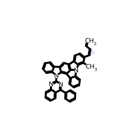 C=C/C=C\c1ccc2c3cc4c5ccccc5n(-c5nc(-c6ccccc6)c6ccccc6n5)c4c4c5ccccc5n(c2c1C)c34